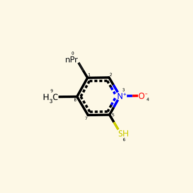 CCCc1c[n+]([O-])c(S)cc1C